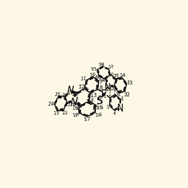 S=P(c1ccncc1)(c1cccc2c1c1ccccc1n1c3ccccc3nc21)n1c2ccccc2c2ccccc21